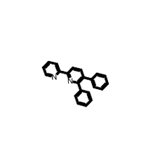 c1ccc(-c2ccc(-c3ccccn3)nc2-c2ccccc2)cc1